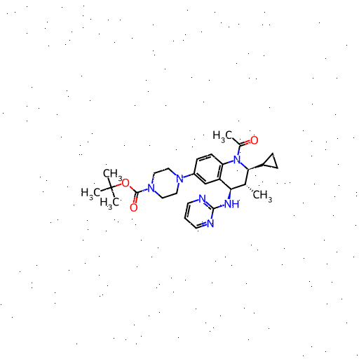 CC(=O)N1c2ccc(N3CCN(C(=O)OC(C)(C)C)CC3)cc2[C@H](Nc2ncccn2)[C@@H](C)[C@@H]1C1CC1